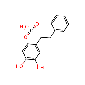 O.O=C=O.Oc1ccc(CCc2ccccc2)cc1O